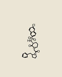 O=C1[C@@H](NS(=O)(=O)c2ccc3cc(Cl)ccc3c2)CCCN1CC(=O)N1CCCC1Cc1ccccc1